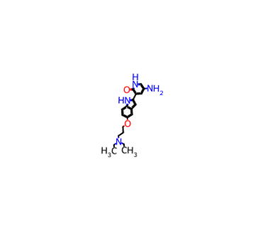 CCN(CC)CCCOc1ccc2[nH]c(-c3cc(N)c[nH]c3=O)cc2c1